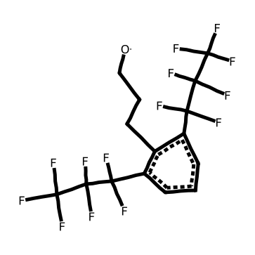 [O]CCCc1c(C(F)(F)C(F)(F)C(F)(F)F)cccc1C(F)(F)C(F)(F)C(F)(F)F